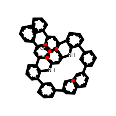 Clc1cc(Nc2c(-c3cccc(-c4ccccc4)c3)cccc2-c2cccc(-c3ccccc3)c2)cc(Nc2c(-c3cccc(-c4ccccc4)c3)cccc2-c2cccc(-c3ccccc3)c2)c1